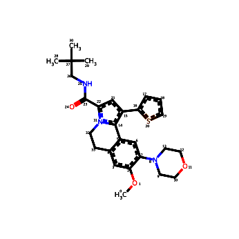 COc1cc2c(cc1N1CCOCC1)-c1c(-c3cccs3)cc(C(=O)NCC(C)(C)C)n1CC2